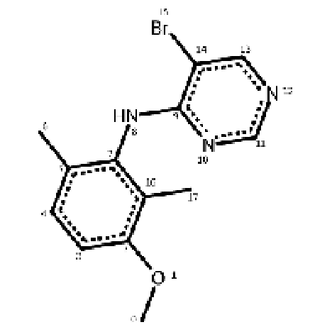 COc1ccc(C)c(Nc2ncncc2Br)c1C